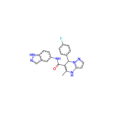 CC1=C(C(=O)Nc2ccc3[nH]ncc3c2)C(c2ccc(F)cc2)n2nccc2N1